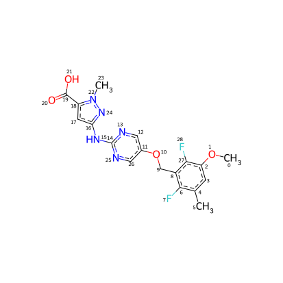 COc1cc(C)c(F)c(COc2cnc(Nc3cc(C(=O)O)n(C)n3)nc2)c1F